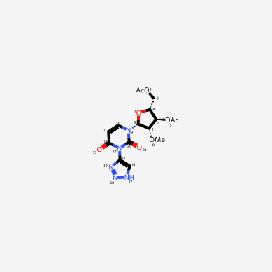 CO[C@H]1[C@H](OC(C)=O)[C@@H](COC(C)=O)O[C@H]1n1ccc(=O)n(-c2c[nH]nn2)c1=O